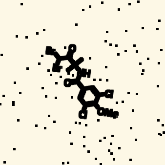 COc1c(Cl)cc(C(=O)NC(C)(C)C(=O)C(Br)Br)cc1Cl